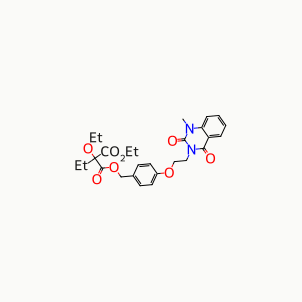 CCOC(=O)C(CC)(OCC)C(=O)OCc1ccc(OCCn2c(=O)c3ccccc3n(C)c2=O)cc1